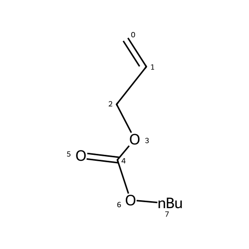 C=CCOC(=O)OCCCC